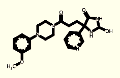 COc1cccc(N2CCN(C(=O)CCC3(c4cccnc4)NC(O)NC3=O)CC2)c1